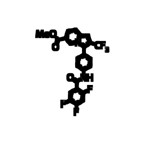 COC(=O)c1ccc2cc(C(F)(F)F)c(-c3ccc(NC(=O)c4cc(F)c(F)cc4F)cc3)n2c1